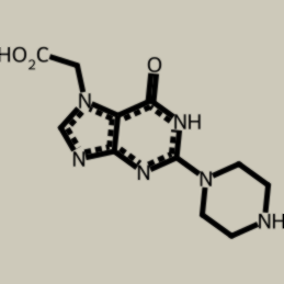 O=C(O)Cn1cnc2nc(N3CCNCC3)[nH]c(=O)c21